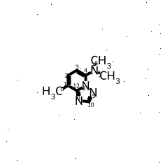 Cc1ccc(N(C)C)n2ncnc12